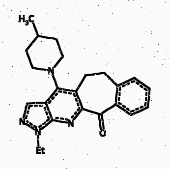 CCn1ncc2c(N3CCC(C)CC3)c3c(nc21)C(=O)c1ccccc1CC3